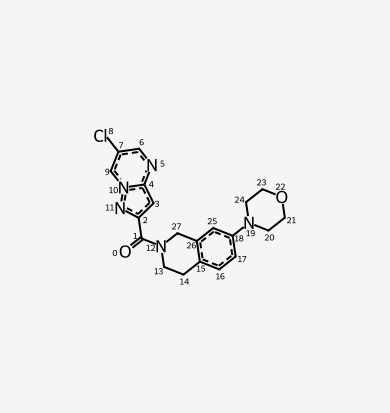 O=C(c1cc2ncc(Cl)cn2n1)N1CCc2ccc(N3CCOCC3)cc2C1